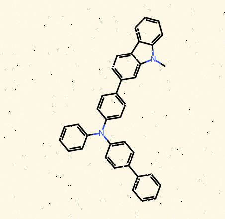 Cn1c2ccccc2c2ccc(-c3ccc(N(c4ccccc4)c4ccc(-c5ccccc5)cc4)cc3)cc21